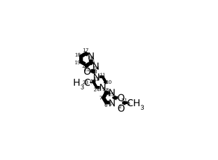 CC(=O)Oc1nccc(N2CCN(c3nc4ncccc4o3)[C@@H](C)C2)n1